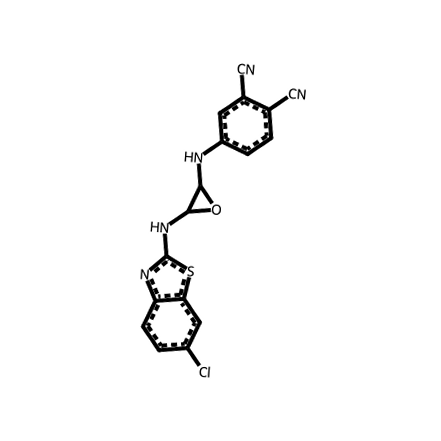 N#Cc1ccc(NC2OC2Nc2nc3ccc(Cl)cc3s2)cc1C#N